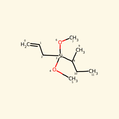 C=CC[Si](OC)(OC)C(C)CC